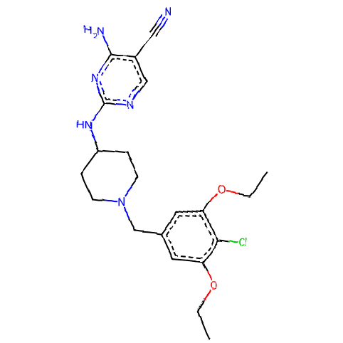 CCOc1cc(CN2CCC(Nc3ncc(C#N)c(N)n3)CC2)cc(OCC)c1Cl